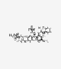 Cc1ccccc1N1CCN(C(=O)C(OCC(F)(F)F)c2ccc(OC3CCN(S(C)(=O)=O)CC3)cc2)C(C(N)=O)C1